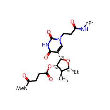 CCCNC(=O)CCn1cc([C@@H]2O[C@H](CC)C(C)[C@@H]2OC(=O)CCC(=O)NC)c(=O)[nH]c1=O